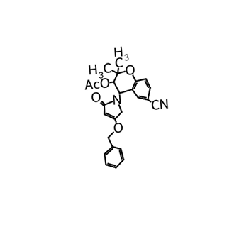 CC(=O)OC1C(N2CC(OCc3ccccc3)=CC2=O)c2cc(C#N)ccc2OC1(C)C